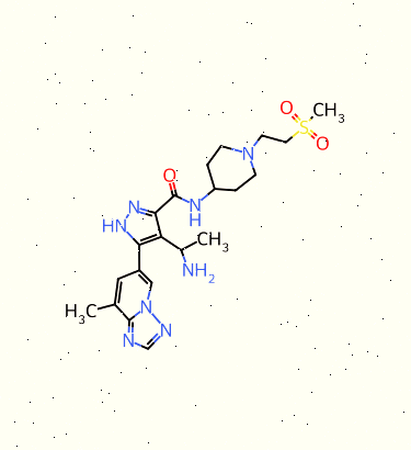 Cc1cc(-c2[nH]nc(C(=O)NC3CCN(CCS(C)(=O)=O)CC3)c2C(C)N)cn2ncnc12